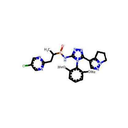 COc1cccc(OC)c1-n1c(N[S+]([O-])C(C)Cc2ncc(Cl)cn2)nnc1-c1cnn2c1CCC2